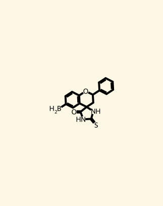 Bc1ccc2c(c1)C1(CC(c3ccccc3)O2)NC(=S)NC1=O